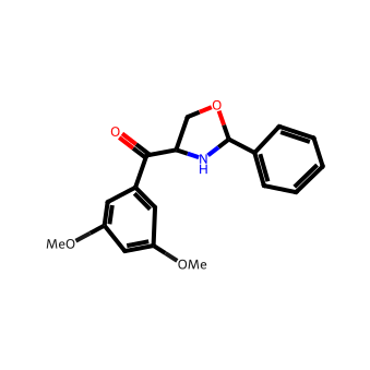 COc1cc(OC)cc(C(=O)C2COC(c3ccccc3)N2)c1